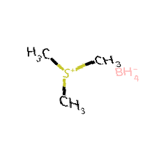 C[S+](C)C.[BH4-]